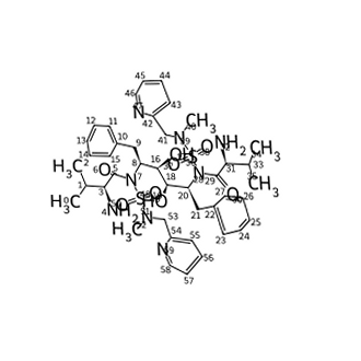 CC(C)[C@H](N)C(=O)N([C@@H](Cc1ccccc1)[C@@H](O)[C@H](O)[C@H](Cc1ccccc1)N(C(=O)[C@@H](N)C(C)C)S(=O)(=O)N(C)Cc1ccccn1)S(=O)(=O)N(C)Cc1ccccn1